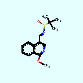 COc1ncc(/C=N/[S@@+]([O-])C(C)(C)C)c2ccccc12